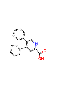 O=C(O)c1cc(-c2ccccc2)c(-c2ccccc2)cn1